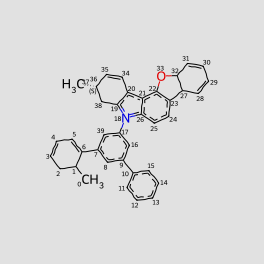 CC1CC=CC=C1c1cc(-c2ccccc2)cc(-n2c3c(c4c5c(ccc42)C2C=CC=CC2O5)C=C[C@@H](C)C3)c1